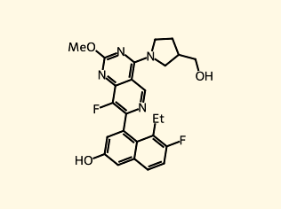 CCc1c(F)ccc2cc(O)cc(-c3ncc4c(N5CCC(CO)C5)nc(OC)nc4c3F)c12